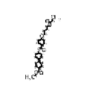 C=COC(=O)c1ccc(-c2ccc(SC(=O)c3ccc(OCCCCOC(=O)C=C)cc3)cc2)cc1